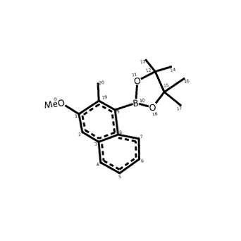 COc1cc2ccccc2c(B2OC(C)(C)C(C)(C)O2)c1C